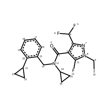 O=C(c1c(C(F)F)nn(CI)c1F)N(Cc1ccccc1C1CC1)C1CC1